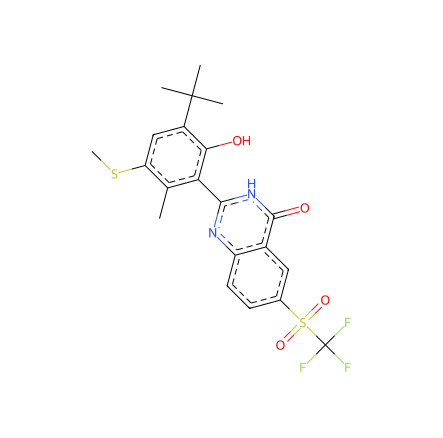 CSc1cc(C(C)(C)C)c(O)c(-c2nc3ccc(S(=O)(=O)C(F)(F)F)cc3c(=O)[nH]2)c1C